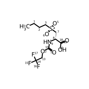 CCCCS(=O)(=O)C[C@@H](NC(=O)OCC(F)(F)F)C(=O)O